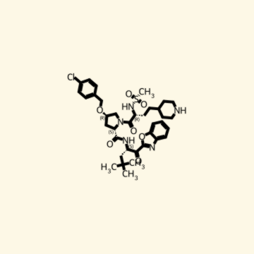 CC(C)(C)C[C@H](NC(=O)[C@@H]1C[C@@H](OCc2ccc(Cl)cc2)CN1C(=O)[C@@H](CCC1CCNCC1)NS(C)(=O)=O)C(=O)c1nc2ccccc2o1